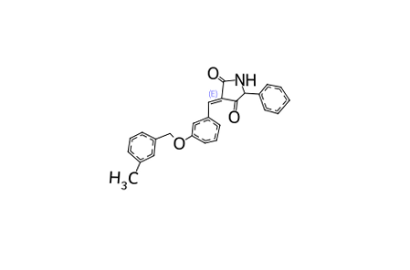 Cc1cccc(COc2cccc(/C=C3/C(=O)NC(c4ccccc4)C3=O)c2)c1